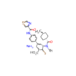 CC(C)N(C(=O)[C@H]1CC[C@H](C)CC1)C1C=C(c2ccc(NC(=O)c3cscn3)cc2)C=C(C(=O)O)C1=S.N